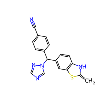 C=C1Nc2ccc(C(c3ccc(C#N)cc3)n3cncn3)cc2S1